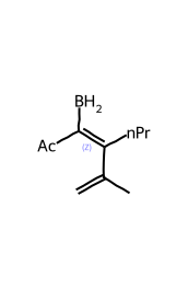 B/C(C(C)=O)=C(\CCC)C(=C)C